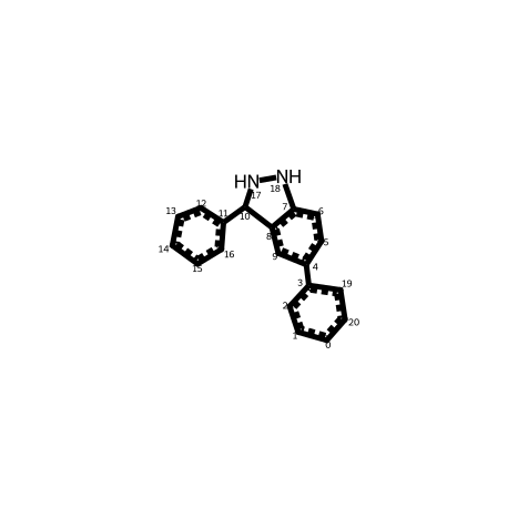 c1ccc(-c2ccc3c(c2)C(c2ccccc2)NN3)cc1